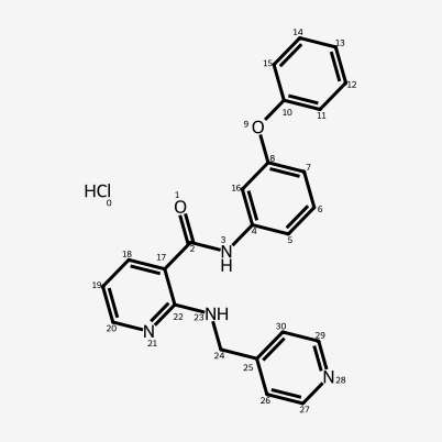 Cl.O=C(Nc1cccc(Oc2ccccc2)c1)c1cccnc1NCc1ccncc1